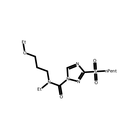 CCCCCS(=O)(=O)c1ncn(C(=O)N(CC)CCCOCC)n1